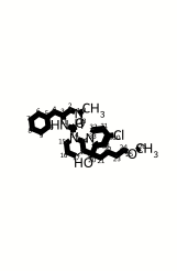 CNCC(CC1CCCCC1)NC(=O)N1CCC[C@@H]([C@@](O)(CCCCOC)c2cc(Cl)ccn2)C1